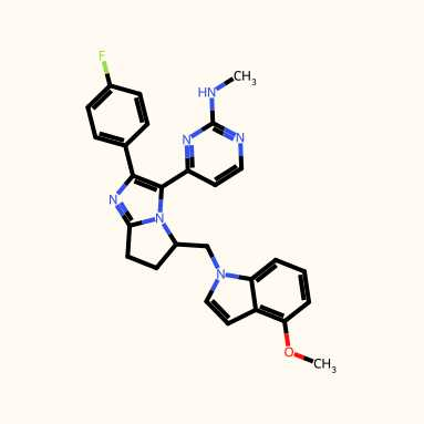 CNc1nccc(-c2c(-c3ccc(F)cc3)nc3n2C(Cn2ccc4c(OC)cccc42)CC3)n1